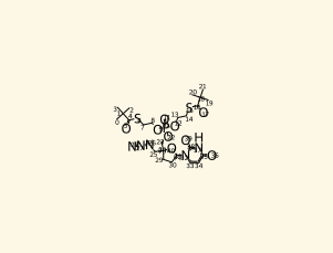 CC(C)(C)C(=O)SCCOP(=O)(OCCSC(=O)C(C)(C)C)OC[C@]1(CN=[N+]=[N-])CC[C@H](n2ccc(=O)[nH]c2=O)O1